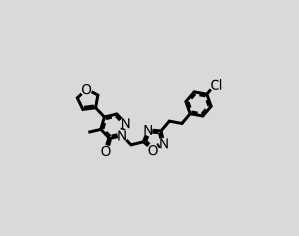 Cc1c(C2=CCOC2)cnn(Cc2nc(CCc3ccc(Cl)cc3)no2)c1=O